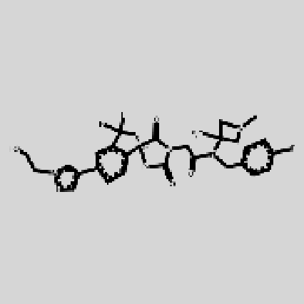 CN1CC(N(Cc2ccc(F)cc2)C(=O)CN2C(=O)N[C@]3(CC(F)(F)c4cc(-c5cnn(CCO)c5)ccc43)C2=O)(C(F)(F)F)C1